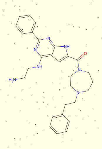 NCCNc1nc(-c2ccccc2)nc2[nH]c(C(=O)N3CCCN(CCc4ccccc4)CC3)cc12